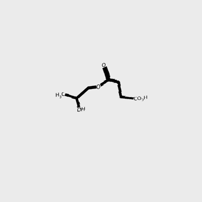 CC(O)COC(=O)CCC(=O)O